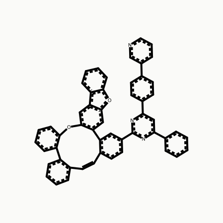 C1=C\c2ccc(-c3nc(-c4ccccc4)cc(-c4ccc(-c5cccnc5)cc4)n3)cc2-c2cc3oc4ccccc4c3cc2Oc2ccccc2-c2ccccc2/1